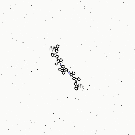 CC1(C)c2ccccc2-c2ccc(-n3c4ccccc4c4cc(C5=CC[C@](C)(/C=C/c6ccc7c(c6)C6(c8ccccc8-c8ccccc86)c6cc(/C=C/c8ccc(-c9ccc%10c(c9)c9ccccc9n%10-c9ccc%10c(c9)C(C)(C)c9ccccc9-%10)c9ccccc89)ccc6-7)c6ccccc65)ccc43)cc21